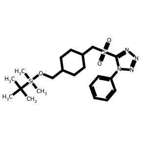 CC(C)(C)[Si](C)(C)OCC1CCC(CS(=O)(=O)c2nnnn2-c2ccccc2)CC1